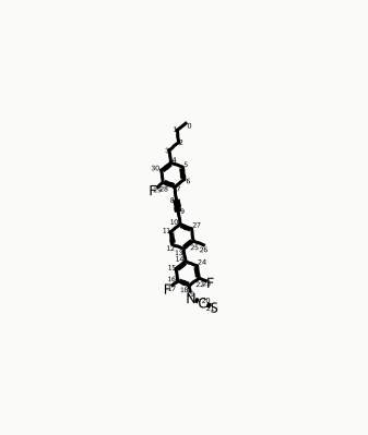 CCCCc1ccc(C#Cc2ccc(-c3cc(F)c(N=C=S)c(F)c3)c(C)c2)c(F)c1